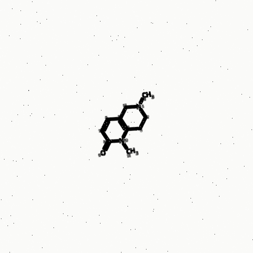 CN1CCc2c(ccc(=O)n2C)C1